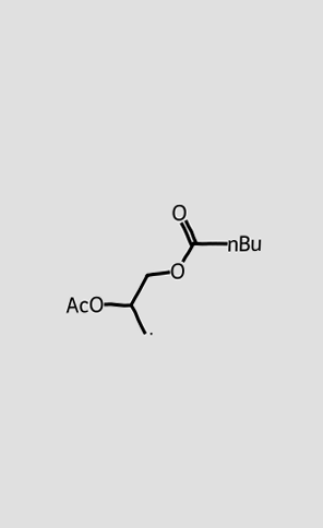 [CH2]C(COC(=O)CCCC)OC(C)=O